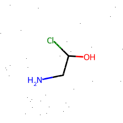 NCC(O)Cl